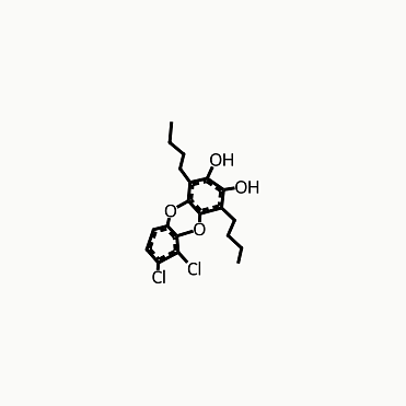 CCCCc1c(O)c(O)c(CCCC)c2c1Oc1ccc(Cl)c(Cl)c1O2